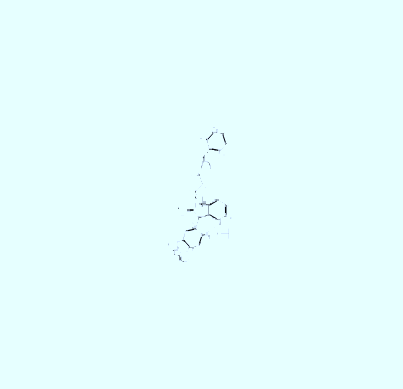 O=C1C(c2cc3c(cc2O)OCO3)c2ccccc2N1CCCOCc1ccccc1